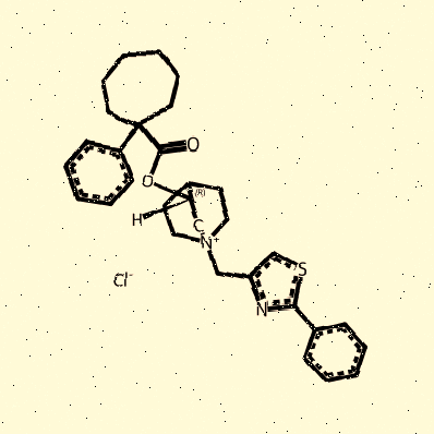 O=C(O[C@H]1C[N+]2(Cc3csc(-c4ccccc4)n3)CCC1CC2)C1(c2ccccc2)CCCCCC1.[Cl-]